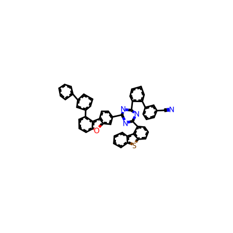 N#Cc1cccc(-c2ccccc2-c2nc(-c3ccc4c(c3)oc3cccc(-c5cccc(-c6ccccc6)c5)c34)nc(-c3cccc4sc5ccccc5c34)n2)c1